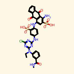 CCN(c1cccc(C(=O)NC)c1)c1nc(Cl)nc(Nc2ccc(Nc3cc(S(=O)(=O)O)c(N)c4c3C(=O)c3ccccc3C4=O)c(S(=O)(=O)O)c2)n1